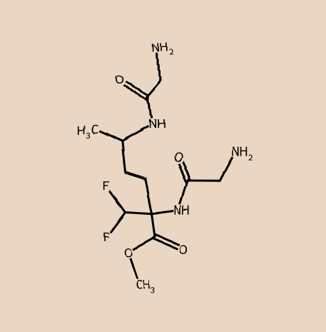 COC(=O)C(CCC(C)NC(=O)CN)(NC(=O)CN)C(F)F